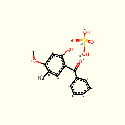 COc1cc(O)c(C(=O)c2ccccc2)c[c]1[Na].O=S(=O)(O)O